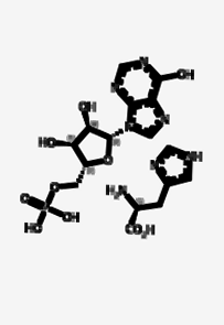 N[C@@H](Cc1c[nH]cn1)C(=O)O.O=P(O)(O)OC[C@H]1O[C@@H](n2cnc3c(O)ncnc32)[C@H](O)[C@@H]1O